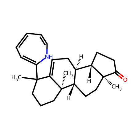 CC1(C2=CC=CC=CN2)CCC[C@@]2(C)C1=CC[C@@H]1[C@@H]2CC[C@]2(C)C(=O)CC[C@@H]12